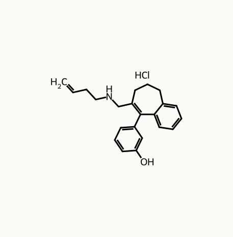 C=CCCNCC1=C(c2cccc(O)c2)c2ccccc2CCC1.Cl